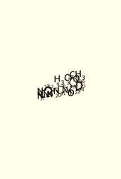 CC1(C)CC(C(=O)N2CCN(c3ccc4nncn4n3)CC2)c2ccccc2O1